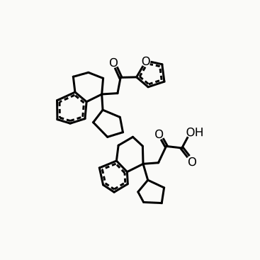 O=C(CC1(C2CCCC2)CCCc2ccccc21)c1ccco1.O=C(O)C(=O)CC1(C2CCCC2)CCCc2ccccc21